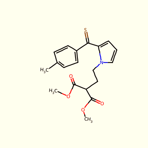 COC(=O)C(CCn1cccc1C(=S)c1ccc(C)cc1)C(=O)OC